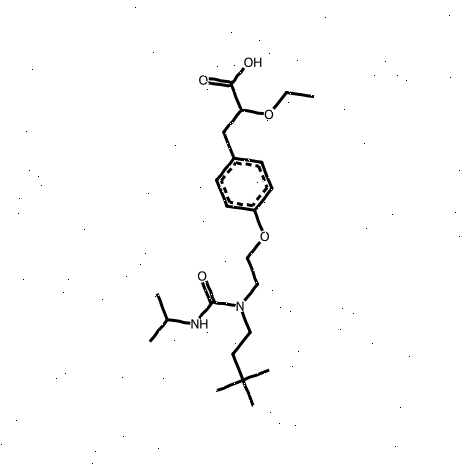 CCOC(Cc1ccc(OCCN(CCC(C)(C)C)C(=O)NC(C)C)cc1)C(=O)O